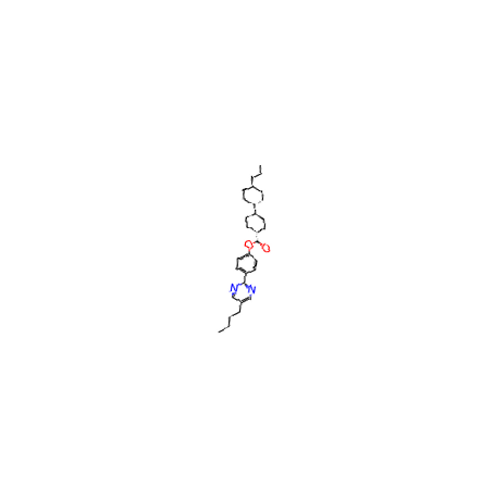 CCCCc1cnc(-c2ccc(OC(=O)[C@H]3CC[C@H]([C@H]4CC[C@H](CCC)CC4)CC3)cc2)nc1